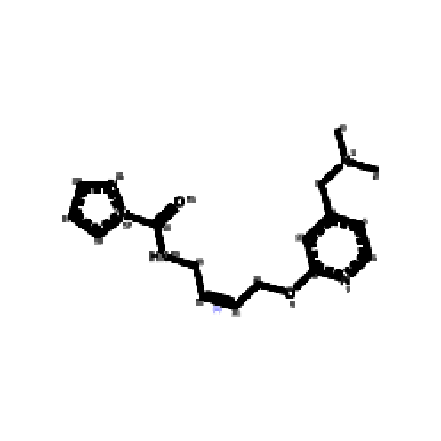 CN(C)Cc1ccnc(OC/C=C\CNC(=O)n2cccn2)c1